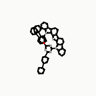 c1ccc(-c2ccc(-c3nc(-c4ccc(-c5ccccc5)cc4)nc(-n4c5ccccc5c5ccc6c7ccc8c9ccccc9n(-c9ccccc9-c9ccccc9)c8c7sc6c54)n3)cc2)cc1